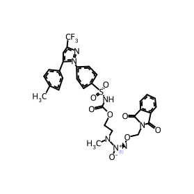 Cc1ccc(-c2cc(C(F)(F)F)nn2-c2ccc(S(=O)(=O)NC(=O)OCCN(C)/[N+]([O-])=N\OCN3C(=O)c4ccccc4C3=O)cc2)cc1